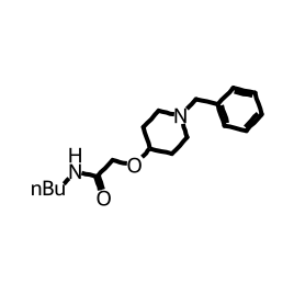 CCCCNC(=O)COC1CCN(Cc2ccccc2)CC1